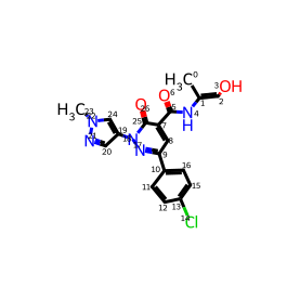 C/C(=C\O)NC(=O)c1cc(-c2ccc(Cl)cc2)nn(-c2cnn(C)c2)c1=O